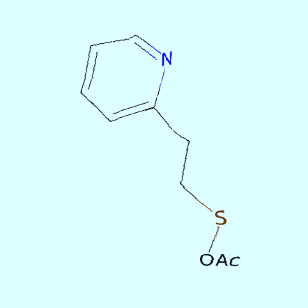 CC(=O)OSCCc1ccccn1